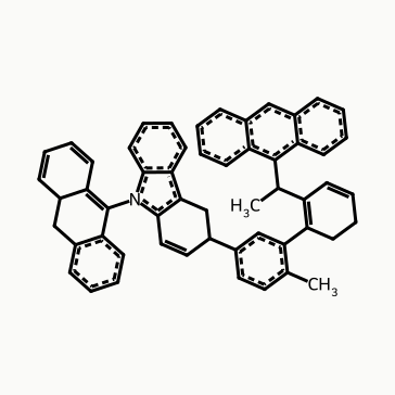 Cc1ccc(C2C=Cc3c(c4ccccc4n3C3=C4C=CC=CC4Cc4ccccc43)C2)cc1C1=C(C(C)c2c3ccccc3cc3ccccc23)C=CCC1